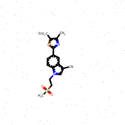 CCOC(=O)c1sc(-c2ccc3c(c2)c(C#N)cn3CCS(C)(=O)=O)nc1C